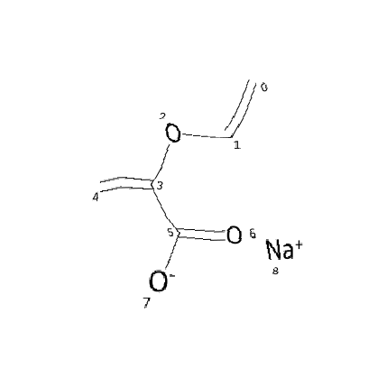 C=COC(=C)C(=O)[O-].[Na+]